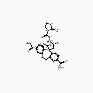 CNC(=O)c1ccc2c(c1)CCc1cc(C(=O)NC)ccc1C2(C[C@H](C)NCC(=O)N1CCC[C@H]1C#N)C(=N)N